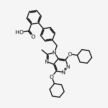 Cc1nc2c(OC3CCCCC3)nnc(OC3CCCCC3)c2n1Cc1ccc(-c2ccccc2C(=O)O)cc1